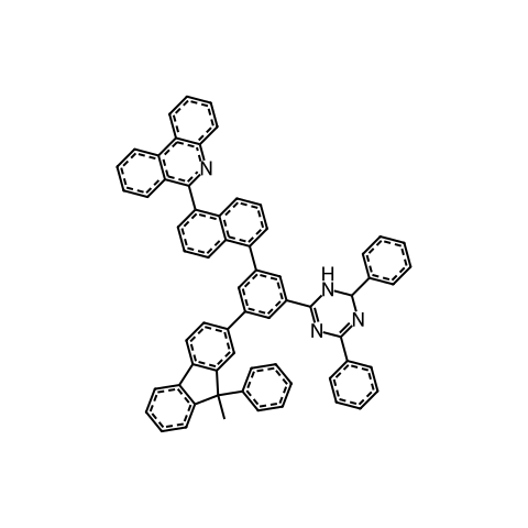 CC1(c2ccccc2)c2ccccc2-c2ccc(-c3cc(C4=NC(c5ccccc5)=NC(c5ccccc5)N4)cc(-c4cccc5c(-c6nc7ccccc7c7ccccc67)cccc45)c3)cc21